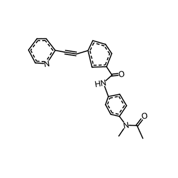 CC(=O)N(C)c1ccc(NC(=O)c2cccc(C#Cc3ccccn3)c2)cc1